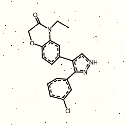 CCN1C(=O)COc2ccc(-c3c[nH]nc3-c3cccc(Cl)c3)cc21